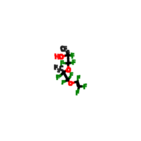 OC(F)(C(F)(F)F)C(F)(F)OC(F)(C(F)(F)F)C(F)(F)OC(F)=C(F)F